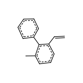 C=Cc1cccc(C)c1-c1ccccc1